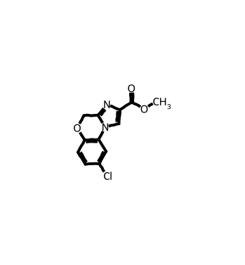 COC(=O)c1cn2c(n1)COc1ccc(Cl)cc1-2